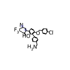 C=C(C)/C(=C\C(=N/C)C(F)(F)F)c1ccc(OCc2ccc(Cl)cc2)c(-c2ccc(CN)cc2)c1O